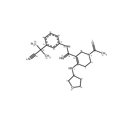 CC(=O)N1CCC(NC2CCOC2)=C(C(=N)Nc2cccc(C(C)(C)C#N)c2)C1